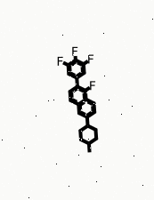 CC1CCC(c2ccc3c(F)c(-c4cc(F)c(F)c(F)c4)ccc3c2)CC1